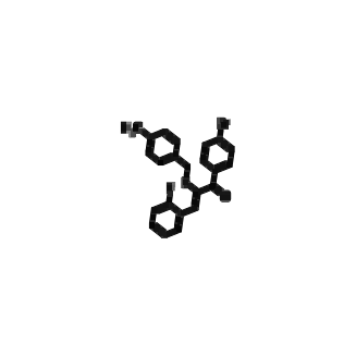 Cc1ccc(CSC(=Cc2ccccc2F)C(=O)c2ccc(Br)cc2)cc1